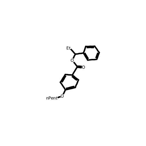 CCCCCOc1ccc(C(=O)OC(CC)c2ccccc2)cc1